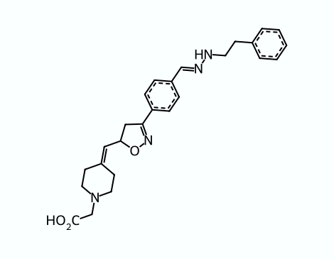 O=C(O)CN1CCC(=CC2CC(c3ccc(C=NNCCc4ccccc4)cc3)=NO2)CC1